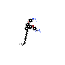 CCCCCCCCCCCCC1CCCC(c2ccc(Oc3ccc(N)cc3)cc2)(c2ccc(Oc3ccc(N)cc3)cc2)C1